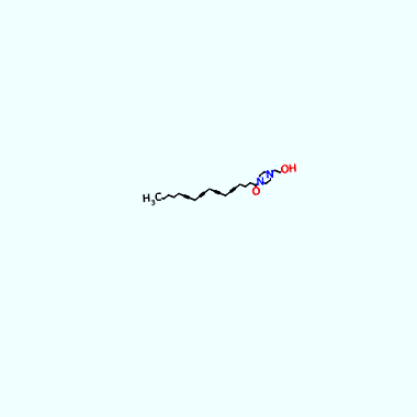 CCCCCC#CCC#CCC#CCC#CCCCC(=O)N1CCN(CCO)CC1